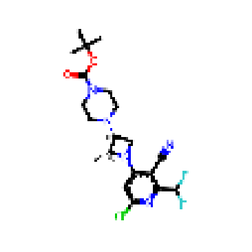 C[C@@H]1[C@H](N2CCN(C(=O)OC(C)(C)C)CC2)CN1c1cc(Cl)nc(C(F)F)c1C#N